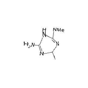 CNC1=NC(C)N=C(N)N1